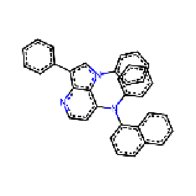 c1ccc(-c2cn(-c3ccccc3)c3c(N(c4ccccc4)c4cccc5ccccc45)ccnc23)cc1